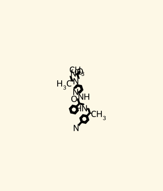 C[C@H](CNCC(C(=O)Nc1ccc(N2CC(=O)N(C)C[C@@H]2C)cn1)c1ccccc1)c1ccc(C#N)cc1